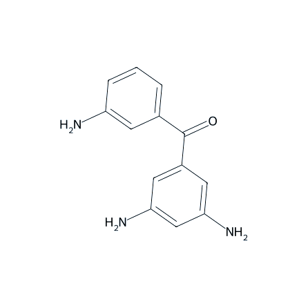 Nc1cccc(C(=O)c2cc(N)cc(N)c2)c1